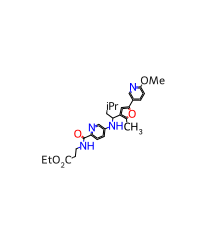 CCOC(=O)CCNC(=O)c1ccc(NC(CC(C)C)c2cc(-c3ccc(OC)nc3)oc2C)cn1